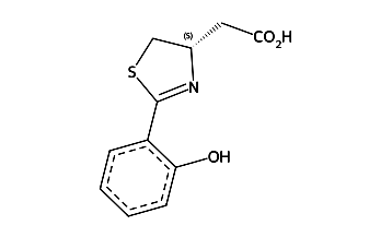 O=C(O)C[C@H]1CSC(c2ccccc2O)=N1